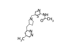 CC(=O)Nc1ncc(CN2CCC(Cc3cc(C)cnn3)C2)s1